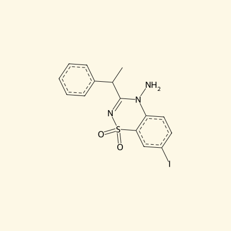 CC(C1=NS(=O)(=O)c2cc(I)ccc2N1N)c1ccccc1